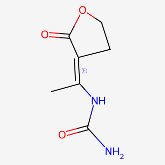 C/C(NC(N)=O)=C1/CCOC1=O